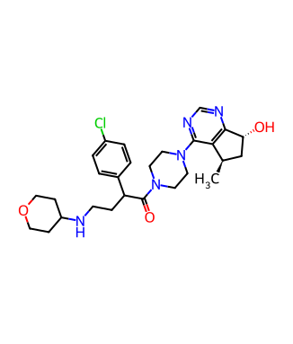 C[C@@H]1C[C@@H](O)c2ncnc(N3CCN(C(=O)C(CCNC4CCOCC4)c4ccc(Cl)cc4)CC3)c21